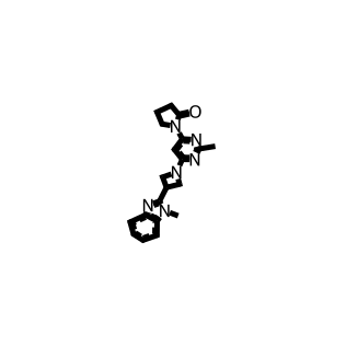 Cc1nc(N2CC(c3nc4ccccc4n3C)C2)cc(N2CCCC2=O)n1